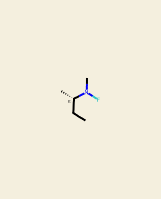 CC[C@H](C)N(C)F